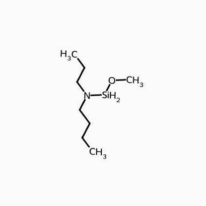 CCCCN(CCC)[SiH2]OC